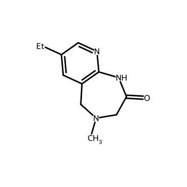 CCc1cnc2c(c1)CN(C)CC(=O)N2